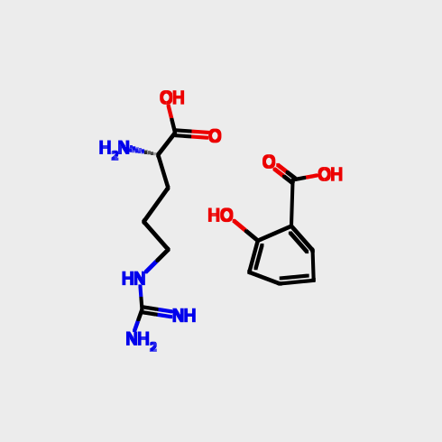 N=C(N)NCCC[C@H](N)C(=O)O.O=C(O)c1ccccc1O